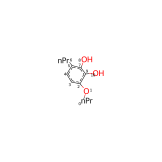 CCCOc1ccc(CCC)c(O)c1O